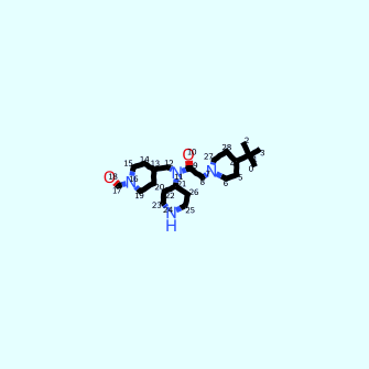 CC(C)(C)C1CCN(CC(=O)N(CC2CCN(C=O)CC2)C2CCNCC2)CC1